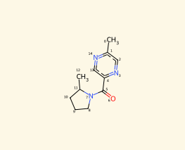 Cc1cnc(C(=O)N2CCCC2C)cn1